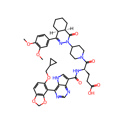 COc1ccc(C2=NN(C3CCN(C(=O)[C@@H](CCC(=O)O)NC(=O)c4c[nH]c5c(-c6c(OCC7CC7)ccc7c6OCO7)ncnc45)CC3)C(=O)[C@@H]3CCCC[C@H]23)cc1OC